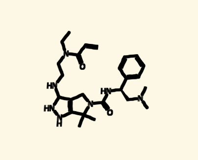 C=CC(=O)N(CC)CCNC1NNC2=C1CN(C(=O)N[C@H](CN(C)C)c1ccccc1)C2(C)C